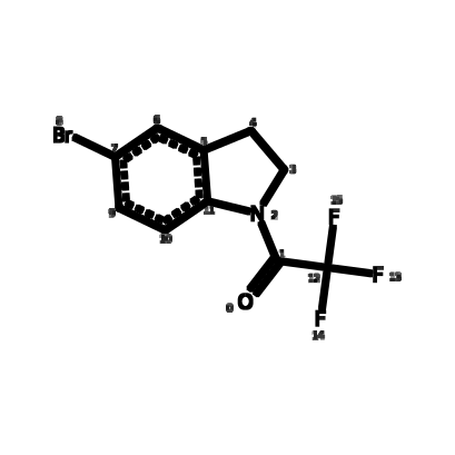 O=C(N1CCc2cc(Br)ccc21)C(F)(F)F